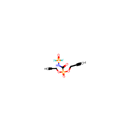 C#CCOP(=O)(OCC#C)C(=O)NP(=O)(F)F